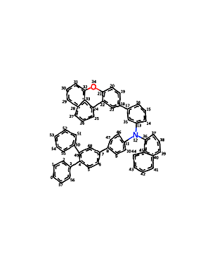 c1ccc(-c2ccc(-c3ccc(N(c4cccc(-c5ccc6c(c5)-c5cccc7cccc(c57)O6)c4)c4cccc5ccccc45)cc3)cc2-c2ccccc2)cc1